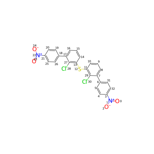 O=[N+]([O-])c1ccc(-c2cccc(Sc3cccc(-c4ccc([N+](=O)[O-])cc4)c3Cl)c2Cl)cc1